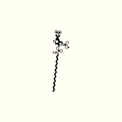 CCCCCCCCCCCCCCCCCCNC(=O)OCc1cnc2c(c1CNC(=O)OC)C21CS(=O)(=O)C1